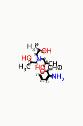 CC(O)CN(CC(C)O)CC(C)O.NC1=CC=COC1C=O